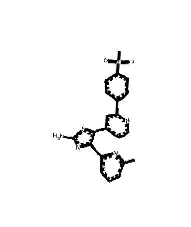 Cc1cccc(-c2nc(N)sc2-c2ccnc(-c3ccc(S(C)(=O)=O)cc3)c2)n1